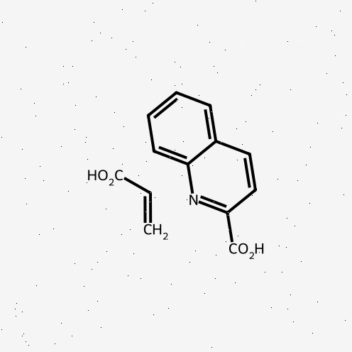 C=CC(=O)O.O=C(O)c1ccc2ccccc2n1